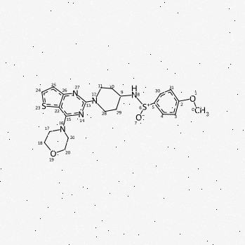 COc1ccc([S+]([O-])NC2CCN(c3nc(N4CCOCC4)c4sccc4n3)CC2)cc1